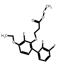 CCOC(=O)CCSc1c(-c2cccc(F)c2F)ccc(OCC)c1F